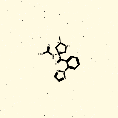 C[C@@H]1C[C@](NC(=O)O)(C(=O)c2ccccc2-n2nccn2)CN1